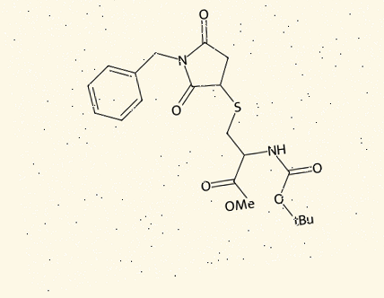 COC(=O)C(CSC1CC(=O)N(Cc2ccccc2)C1=O)NC(=O)OC(C)(C)C